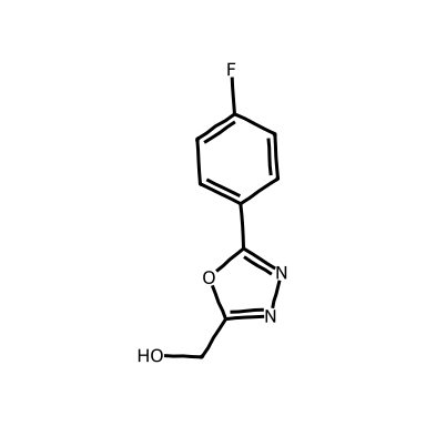 OCc1nnc(-c2ccc(F)cc2)o1